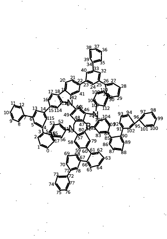 c1ccc(-c2cc(-c3ccccc3)cc(-c3ccc4c5ccc(-c6cc(-c7ccccc7)cc(-c7ccccc7)c6)cc5n(-c5cc6c7c(c5)N(c5ccccc5)c5ccc(-c8ccccc8-c8cccc(-c9ccccc9)c8)cc5B7c5cc(-c7ccccc7-c7cccc(-c8ccccc8)c7)ccc5N6c5ccccc5)c4c3)c2)cc1